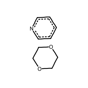 C1COCCO1.c1ccncc1